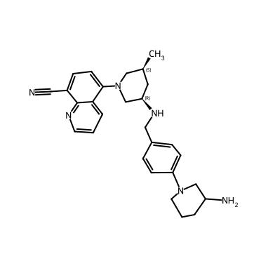 C[C@H]1C[C@@H](NCc2ccc(N3CCCC(N)C3)cc2)CN(c2ccc(C#N)c3ncccc23)C1